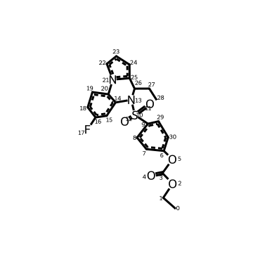 CCOC(=O)Oc1ccc(S(=O)(=O)N2c3cc(F)ccc3-n3cccc3C2CC)cc1